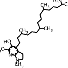 Cc1nc2c(c(CCC(C)CCCC(C)CCCC(C)CCCC(C)C)c1O)CCN2C